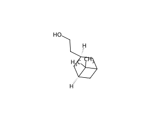 CC1(C)C2C[C@H](CCO)C[C@@H]1C2